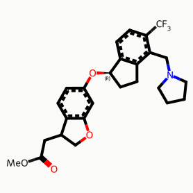 COC(=O)CC1COc2cc(O[C@@H]3CCc4c3ccc(C(F)(F)F)c4CN3CCCC3)ccc21